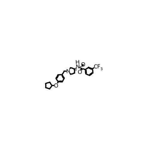 O=S(=O)(N[C@@H]1CCN(Cc2ccc(OC3CCCC3)cc2)C1)c1cccc(C(F)(F)F)c1